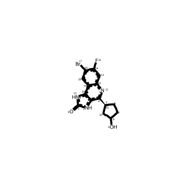 O=c1[nH]c2c([C@H]3CCC(O)C3)nc3cc(F)c(Br)cc3c2[nH]1